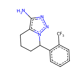 Nc1nnn2c1CCCC2c1ccccc1C(F)(F)F